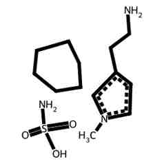 C1CCCCC1.Cn1ccc(CCN)c1.NS(=O)(=O)O